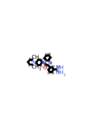 CC1CCC[C@H](C)N1C1CCC(n2c(=O)c(-c3cccc(C(=N)N)c3)nc3ccccc32)CC1